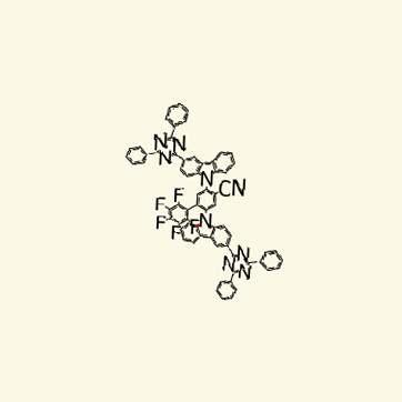 N#Cc1cc(-n2c3ccccc3c3cc(-c4nc(-c5ccccc5)nc(-c5ccccc5)n4)ccc32)c(-c2c(F)c(F)c(F)c(F)c2F)cc1-n1c2ccccc2c2cc(-c3nc(-c4ccccc4)nc(-c4ccccc4)n3)ccc21